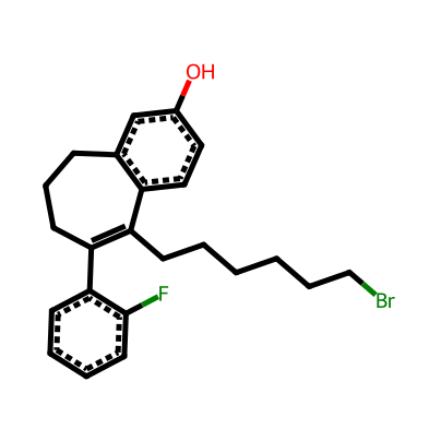 Oc1ccc2c(c1)CCCC(c1ccccc1F)=C2CCCCCCBr